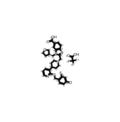 O=C(O)C(F)(F)F.O=C(O)c1ccc2nc(CN3CCC(c4cccnc4OCc4ccc(Cl)cc4F)CC3)n(C[C@H]3CCOC3)c2c1